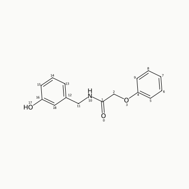 O=C(COc1ccccc1)NCc1cccc(O)c1